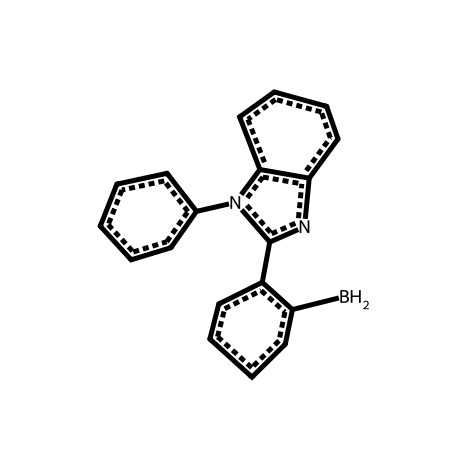 Bc1ccccc1-c1nc2ccccc2n1-c1ccccc1